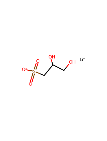 O=S(=O)([O-])CC(O)CO.[Li+]